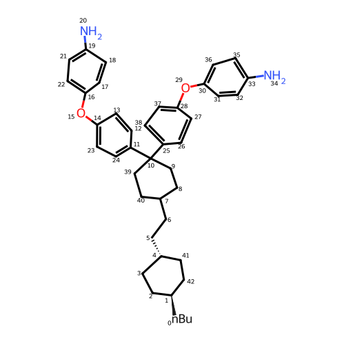 CCCC[C@H]1CC[C@H](CCC2CCC(c3ccc(Oc4ccc(N)cc4)cc3)(c3ccc(Oc4ccc(N)cc4)cc3)CC2)CC1